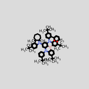 CC(C)(C)c1cccc(N2c3cc(C(C)(C)C)ccc3B3c4cc(C(C)(C)C)ccc4N(c4ccc(C(C)(C)C)cc4-c4ccccc4)c4cc(N5c6ccc(C(C)(C)C)cc6C6(C)CCCCCC56C)cc2c43)c1